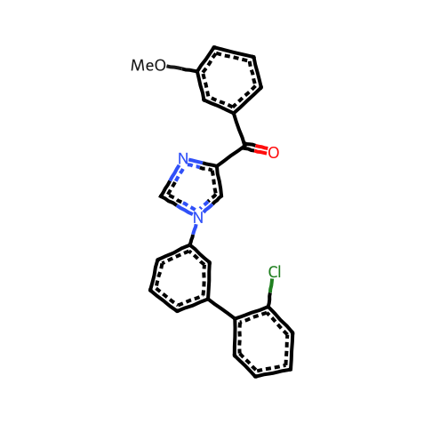 COc1cccc(C(=O)c2cn(-c3cccc(-c4ccccc4Cl)c3)cn2)c1